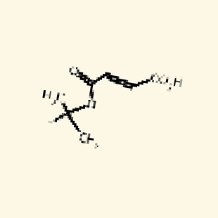 CC(C)(F)OC(=O)C=CC(=O)O